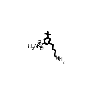 CC(C)(C)c1cc(CCCCN)cc(S(N)(=O)=O)c1